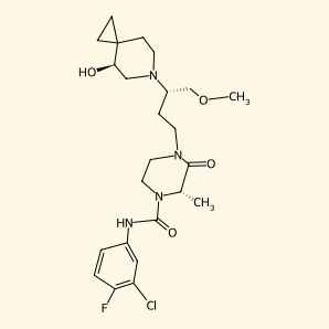 COC[C@H](CCN1CCN(C(=O)Nc2ccc(F)c(Cl)c2)[C@@H](C)C1=O)N1CCC2(CC2)[C@H](O)C1